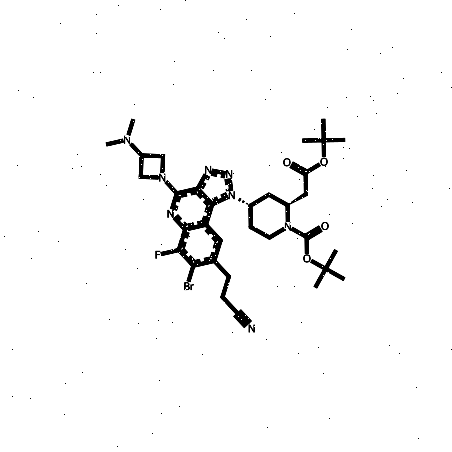 CN(C)C1CN(c2nc3c(F)c(Br)c(CCC#N)cc3c3c2nnn3[C@H]2CCN(C(=O)OC(C)(C)C)[C@H](CC(=O)OC(C)(C)C)C2)C1